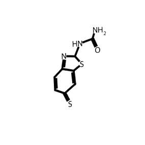 NC(=O)NC1N=C2C=CC(=S)C=C2S1